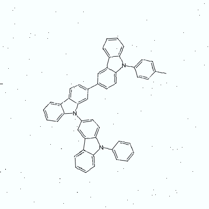 Cc1ccc(-n2c3ccccc3c3cc(-c4ccc5c6ccccc6n(-c6ccc7c(c6)c6ccccc6n7-c6ccccc6)c5c4)ccc32)cc1